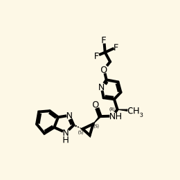 C[C@@H](NC(=O)[C@H]1C[C@@H]1c1nc2ccccc2[nH]1)c1ccc(OCC(F)(F)F)nc1